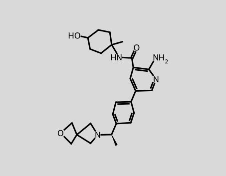 C[C@H](c1ccc(-c2cnc(N)c(C(=O)NC3(C)CCC(O)CC3)c2)cc1)N1CC2(COC2)C1